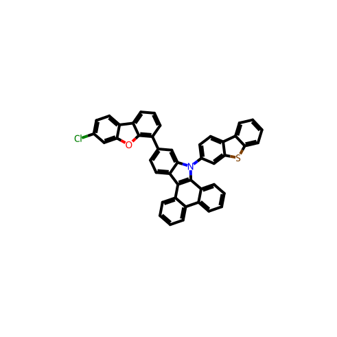 Clc1ccc2c(c1)oc1c(-c3ccc4c5c6ccccc6c6ccccc6c5n(-c5ccc6c(c5)sc5ccccc56)c4c3)cccc12